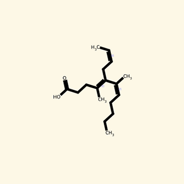 C/C=C\CC(/C(C)=C\CCCC)=C(/C)CCC(=O)O